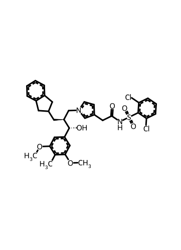 COc1cc([C@@H](O)[C@@H](CC2Cc3ccccc3C2)Cn2ccc(CC(=O)NS(=O)(=O)c3c(Cl)cccc3Cl)c2)cc(OC)c1C